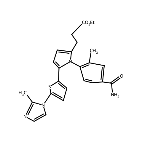 CCOC(=O)CCc1ccc(-c2ccc(-n3ccnc3C)s2)n1-c1ccc(C(N)=O)cc1C